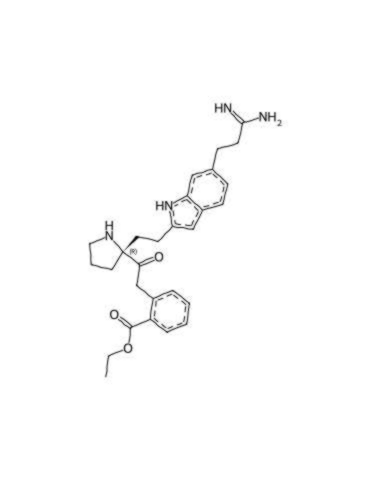 CCOC(=O)c1ccccc1CC(=O)[C@]1(CCc2cc3ccc(CCC(=N)N)cc3[nH]2)CCCN1